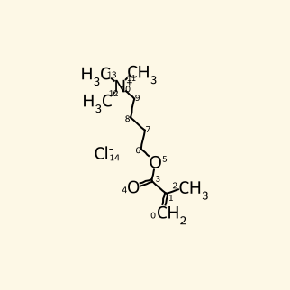 C=C(C)C(=O)OCCCC[N+](C)(C)C.[Cl-]